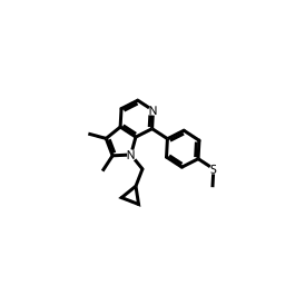 CSc1ccc(-c2nccc3c(C)c(C)n(CC4CC4)c23)cc1